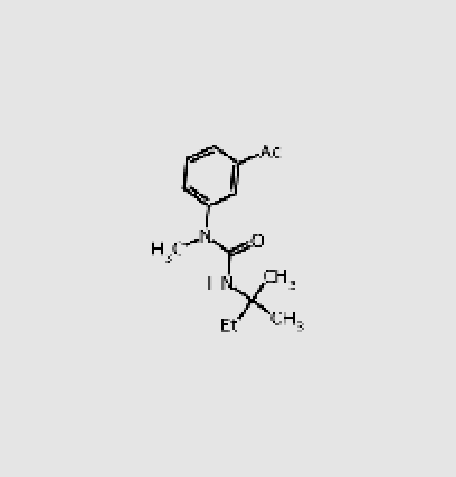 CCC(C)(C)NC(=O)N(C)c1cccc(C(C)=O)c1